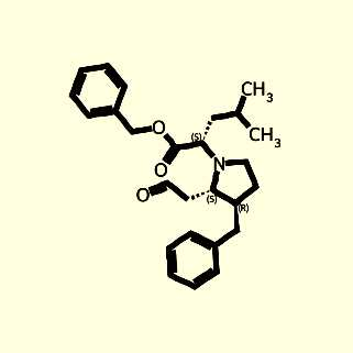 CC(C)C[C@@H](C(=O)OCc1ccccc1)N1CC[C@@H](Cc2ccccc2)[C@@H]1CC=O